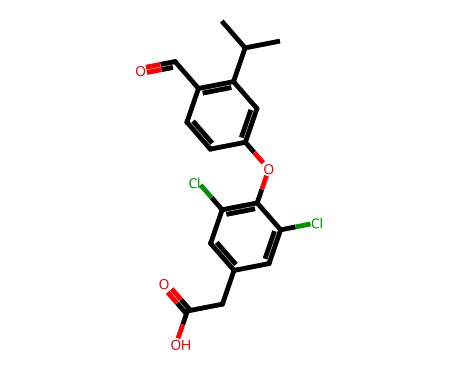 CC(C)c1cc(Oc2c(Cl)cc(CC(=O)O)cc2Cl)ccc1C=O